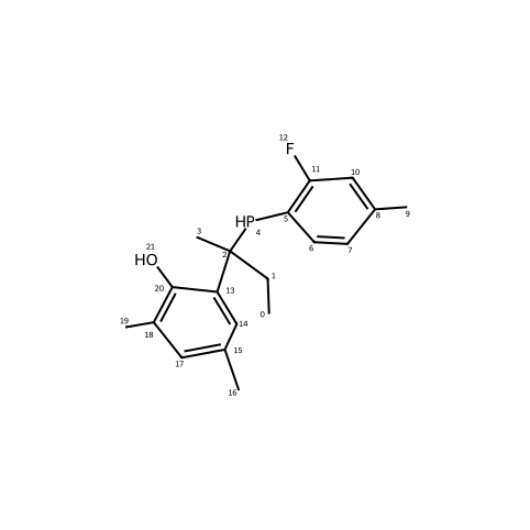 CCC(C)(Pc1ccc(C)cc1F)c1cc(C)cc(C)c1O